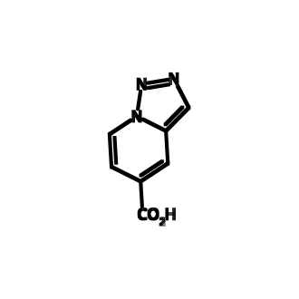 O=C(O)c1ccn2nncc2c1